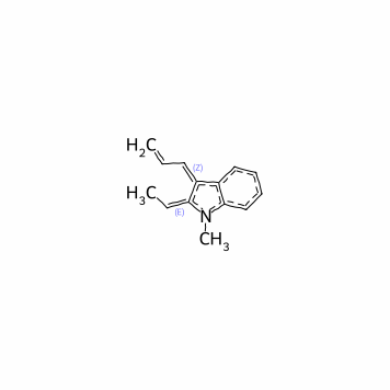 C=C/C=c1\c(=C/C)n(C)c2ccccc12